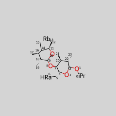 CC(C)OC1O[C@H]([CH2][RaH])[C@@H](OC2O[C@H]([CH2][Rb])C(C)[C@H](C)[C@H]2C)[C@@H](C)[C@@H]1C